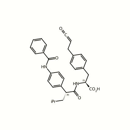 CC(C)C[C@@H](C(=O)N[C@@H](Cc1ccc(CC=C=O)cc1)C(=O)O)c1ccc(NC(=O)c2ccccc2)cc1